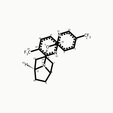 FC(F)(F)c1ccc(O[C@@H]2CC3CC[C@@H](C2)N3c2ncccc2C(F)(F)F)nc1